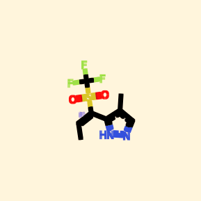 C/C=C(\c1[nH]ncc1C)S(=O)(=O)C(F)(F)F